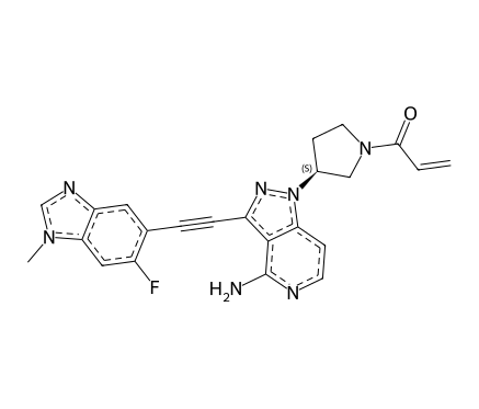 C=CC(=O)N1CC[C@H](n2nc(C#Cc3cc4ncn(C)c4cc3F)c3c(N)nccc32)C1